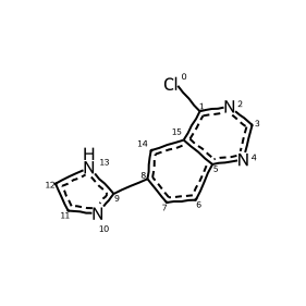 Clc1ncnc2ccc(-c3ncc[nH]3)cc12